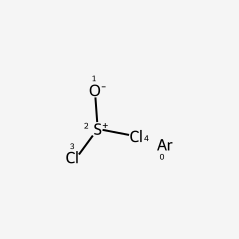 [Ar].[O-][S+](Cl)Cl